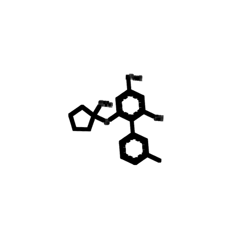 CCCCCc1cc(O)c(-c2cccc(C)c2)c(OC2(OC)CCCC2)c1